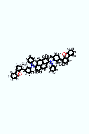 CCCCc1ccc(-c2cccc3c2oc2ccccc23)c(CCCC)c1N(c1ccccc1)c1ccc2ccc3c(N(c4ccccc4)c4c(CCCC)ccc(-c5cccc6c5oc5ccccc56)c4CCCC)ccc4ccc1c2c43